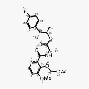 COc1ccnc(C(=O)N[C@@H](C)C(=O)O[C@H](C)[C@H](C)c2ccc(F)cc2)c1OCOC(C)=O